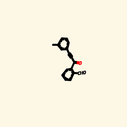 Cc1cccc(C#CC(=O)c2ccccc2C=O)c1